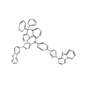 c1ccc(C2(c3ccccc3)c3ccccc3-c3c(N(c4ccc(-c5ccc(-c6cccc7c6sc6ccccc67)cc5)cc4)c4ccc(-c5ccc6sc7ccccc7c6c5)cc4)cccc32)cc1